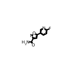 NC(=O)c1cc(-c2ccc(F)nc2)on1